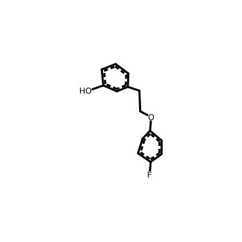 Oc1cccc(CCOc2ccc(F)cc2)c1